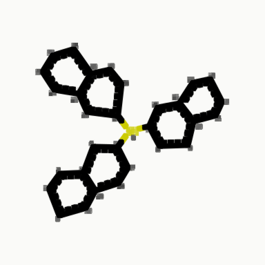 c1ccc2cc([SH](c3ccc4ccccc4c3)c3ccc4ccccc4c3)ccc2c1